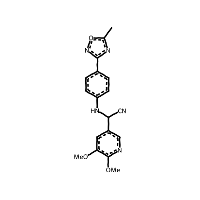 COc1cc(C(C#N)Nc2ccc(-c3noc(C)n3)cc2)cnc1OC